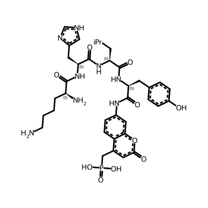 CC(C)C[C@H](NC(=O)[C@H](Cc1c[nH]cn1)NC(=O)[C@@H](N)CCCCN)C(=O)N[C@@H](Cc1ccc(O)cc1)C(=O)Nc1ccc2c(CP(=O)(O)O)cc(=O)oc2c1